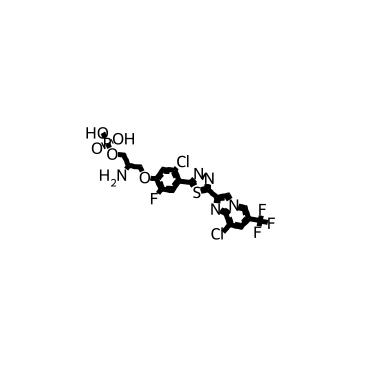 NC(COc1cc(Cl)c(-c2nnc(-c3cn4cc(C(F)(F)F)cc(Cl)c4n3)s2)cc1F)COP(=O)(O)O